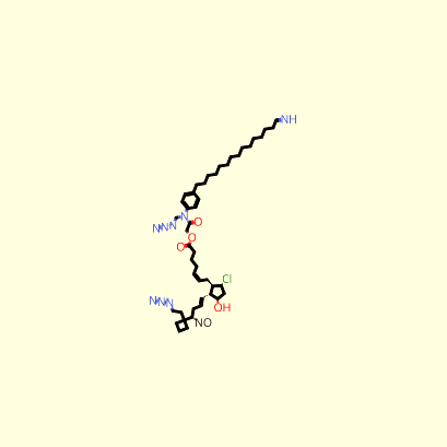 [N-]=[N+]=NCCC1([C@H](C/C=C/[C@@H]2[C@@H](C/C=C\CCCC(=O)OCC(=O)N(CN=[N+]=[N-])c3ccc(CCCCCCCCCCCCCCC=N)cc3)[C@H](Cl)C[C@H]2O)N=O)CCC1